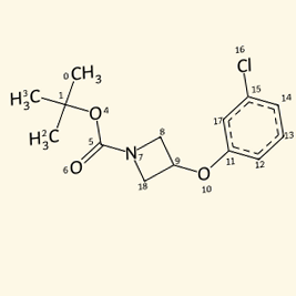 CC(C)(C)OC(=O)N1CC(Oc2cccc(Cl)c2)C1